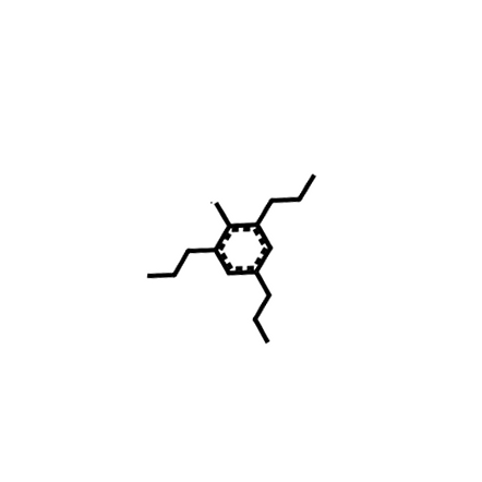 [CH2]c1c(CCC)cc(CCC)cc1CCC